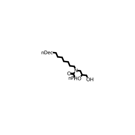 CCCCCCCCCCCCCCCCCN(CC(O)CO)C(=O)CCC